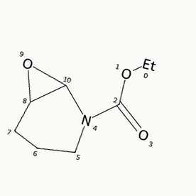 CCOC(=O)N1CCCC2OC21